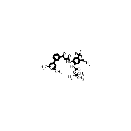 C=Cc1cc(NC(=O)OC(C)(C)C)c(NC(=O)CC(=O)c2cccc(-c3cc(C)nc(C)c3)c2)cc1C(F)(F)F